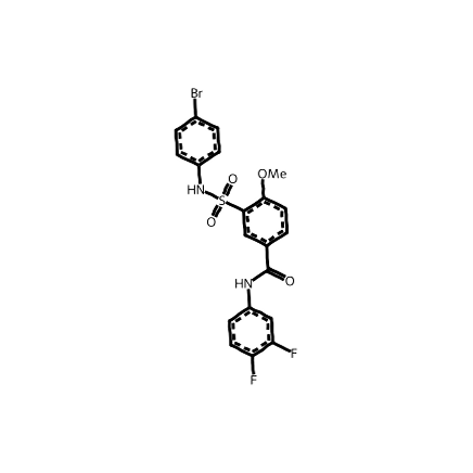 COc1ccc(C(=O)Nc2ccc(F)c(F)c2)cc1S(=O)(=O)Nc1ccc(Br)cc1